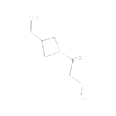 COCC1CN(C(=O)CSC(C)C)C1